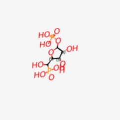 O=P(O)(O)OC1O[C@H](C(O)P(=O)(O)O)[C@@H](O)[C@H]1O